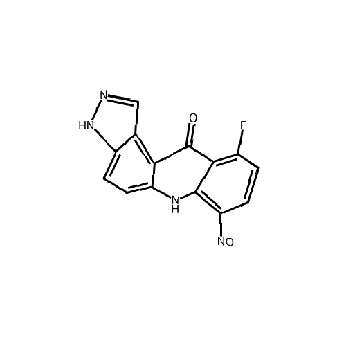 O=Nc1ccc(F)c2c(=O)c3c(ccc4[nH]ncc43)[nH]c12